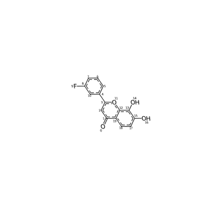 O=c1cc(-c2cccc(F)c2)oc2c(O)c(O)ccc12